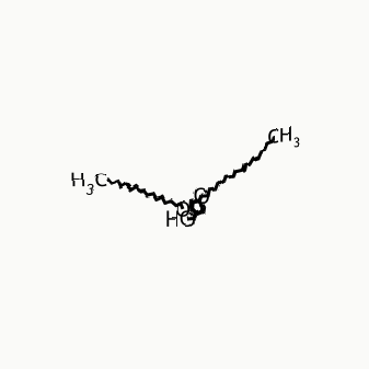 CCCCCC=CCC=CCCCCCCCCOc1ccc(CO)c(OCCCCCCCCC=CCC=CCCCCC)c1